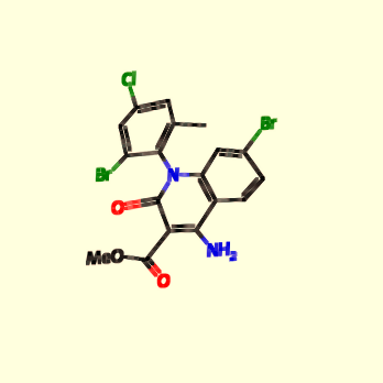 COC(=O)c1c(N)c2ccc(Br)cc2n(-c2c(C)cc(Cl)cc2Br)c1=O